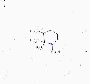 O=C(O)C1CCCN(C(=O)O)C1(C(=O)O)C(=O)O